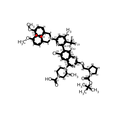 COc1ccc(CN(Cc2ccc(OC)cc2)c2cc(C)c(C(F)(F)F)c(-c3c(Cl)cc4c(N5CCN(C(=O)O)C[C@@H]5C)nc(OCC5CCCN5C(=O)OC(C)(C)C)nc4c3F)n2)cc1